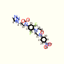 O=C1O[C@@H](Cn2ccnn2)CN1c1cc(F)c(N2CCON(c3ccc([N+](=O)[O-])cc3)CC2)c(F)c1